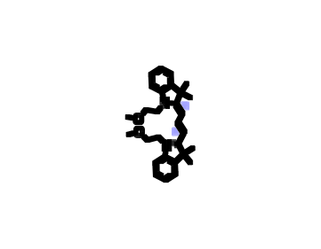 COCCN1/C(=C\C=C\C2=[N+](CCOC)c3ccccc3C2(C)C)C(C)(C)c2ccccc21